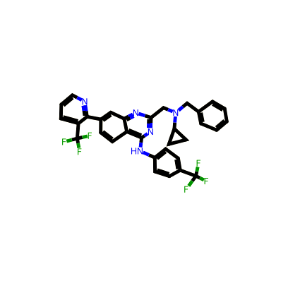 FC(F)(F)c1ccc(Nc2nc(CN(Cc3ccccc3)C3CC3)nc3cc(-c4ncccc4C(F)(F)F)ccc23)cc1